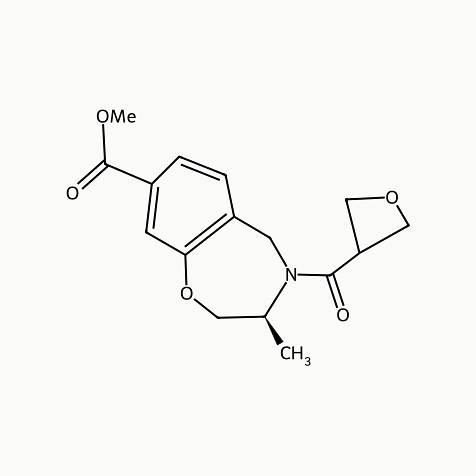 COC(=O)c1ccc2c(c1)OC[C@H](C)N(C(=O)C1COC1)C2